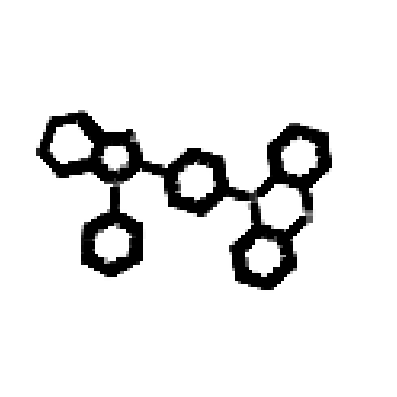 C1=c2nc(-c3ccc(N4c5ccccc5Sc5ccccc54)cc3)n(-c3ccccc3)c2=CCC1